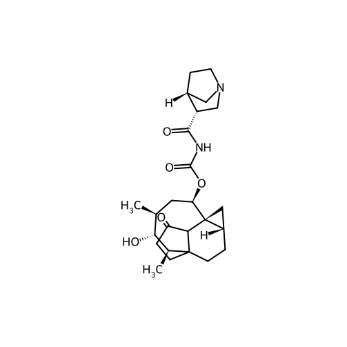 C[C@H]1C[C@@H](OC(=O)NC(=O)[C@H]2CN3CC[C@@H]2C3)[C@]23C[C@@H]2CCC2(CCC(=O)C23)[C@@H](C)[C@@H]1O